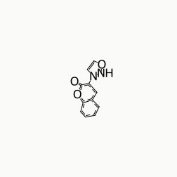 O=c1oc2ccccc2cc1N1C=CON1